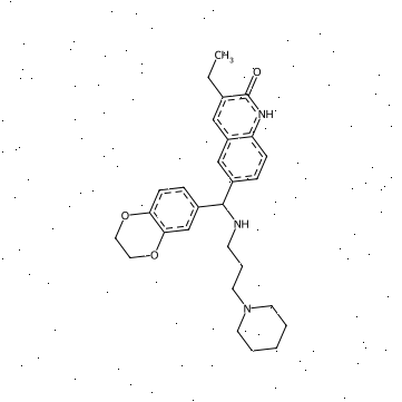 CCc1cc2cc(C(NCCCN3CCCCC3)c3ccc4c(c3)OCCO4)ccc2[nH]c1=O